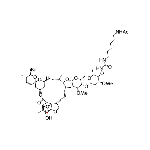 CC[C@H](C)[C@H]1O[C@]2(C=C[C@@H]1C)C[C@@H]1C[C@@H](C/C=C(\C)[C@@H](O[C@H]3C[C@H](OC)[C@@H](O[C@H]4C[C@H](OC)[C@H](ONC(=O)NCCCCCCNC(C)=O)[C@H](C)O4)[C@H](C)O3)[C@@H](C)/C=C/C=C3\CO[C@@H]4[C@H](O)C(C)=CC(C(=O)O1)[C@]34O)O2